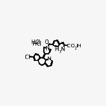 Cl.Cl.NC(Cc1ccc(C(=O)N2CCC(=C3c4ccc(Cl)cc4CCc4cccnc43)CC2)cc1)C(=O)O